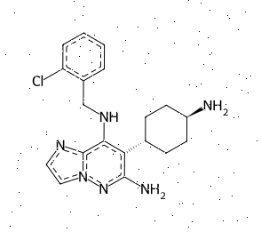 Nc1nn2ccnc2c(NCc2ccccc2Cl)c1[C@H]1CC[C@H](N)CC1